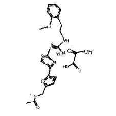 COc1ccccc1CCNC(N)=Nc1nc(-c2ccc(CNC(C)=O)o2)cs1.O=C(O)C(=O)O